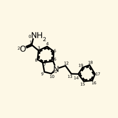 NC(=O)c1ccc2c(c1)CCN2CCc1ccccc1